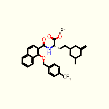 C=C1CC(C)CC(CC[C@H](NC(=O)c2ccc3ccccc3c2OCc2ccc(C(F)(F)F)cc2)C(=O)OC(C)C)C1